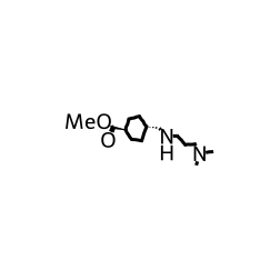 COC(=O)[C@H]1CC[C@H](CNCCCN(C)C)CC1